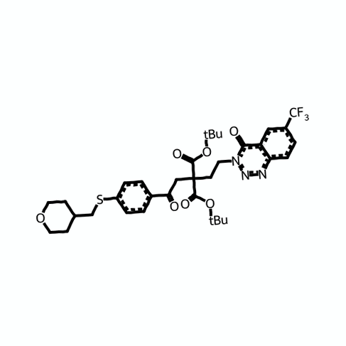 CC(C)(C)OC(=O)C(CCn1nnc2ccc(C(F)(F)F)cc2c1=O)(CC(=O)c1ccc(SCC2CCOCC2)cc1)C(=O)OC(C)(C)C